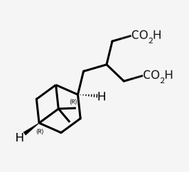 CC1(C)C2C[C@H]1CC[C@@H]2CC(CC(=O)O)CC(=O)O